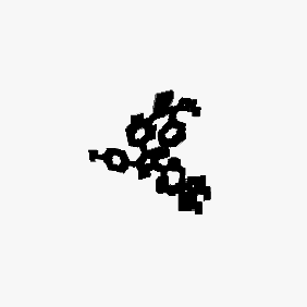 CC(Nc1nccc(-c2[nH]c(C3OCC(C)(N)CO3)nc2-c2ccc(F)cc2)n1)c1ccccc1